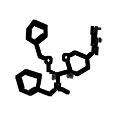 CN(Cc1ccccc1)[C@H](COCc1ccccc1)[C@@H]1CCC(N=[N+]=[N-])CO1